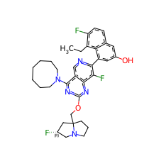 CCc1c(F)ccc2cc(O)cc(-c3ncc4c(N5CCCCCCC5)nc(OCC56CCCN5C[C@H](F)C6)nc4c3F)c12